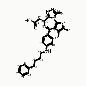 Cc1sc2c(c1C)C(c1ccc(NCCCCc3ccccc3)cc1)=N[C@@H](CC(=O)O)c1nnc(C)n1-2